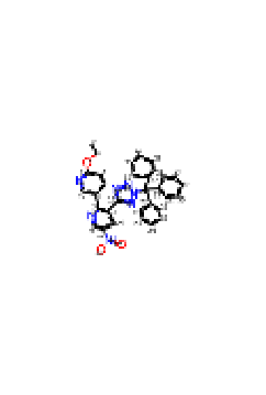 CCOc1ccc(-c2ncc([N+](=O)[O-])cc2-c2nnn(C(c3ccccc3)(c3ccccc3)c3ccccc3)n2)cn1